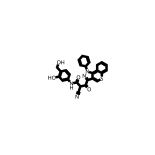 N#CC(C(=O)Nc1ccc(CO)c(O)c1)C(=O)c1nn(C2C=CCC=C2)c2c1=CSC1=CC=CCC=21